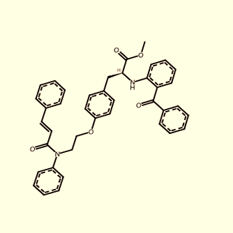 COC(=O)[C@H](Cc1ccc(OCCN(C(=O)C=Cc2ccccc2)c2ccccc2)cc1)Nc1ccccc1C(=O)c1ccccc1